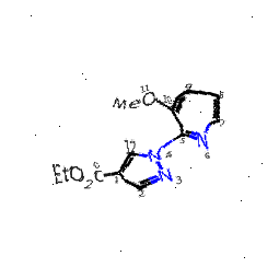 CCOC(=O)c1cnn(-c2ncccc2OC)c1